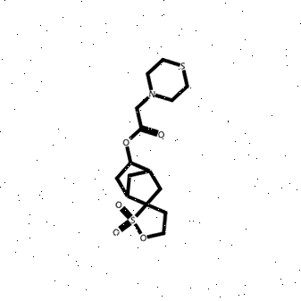 O=C(CN1CCSCC1)OC1CC2CC1CC21CCOS1(=O)=O